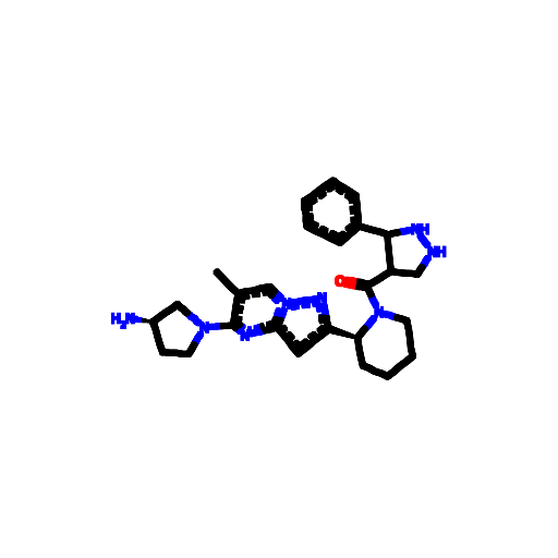 Cc1cn2nc([C@@H]3CCCCN3C(=O)C3CNNC3c3ccccc3)cc2nc1N1CC[C@H](N)C1